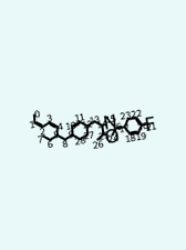 C/C=C\C=C/C(CC)CC1C=CC(CC2N=C(C3C=CC(F)=CC3)OC2C)CC1